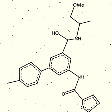 COCC(C)NC(O)c1cc(NC(=O)c2ccco2)cc(-c2ccc(C)cc2)c1